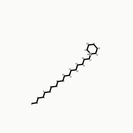 CCCCCCCCCCCCCCCCCCN1[CH]CCCC1